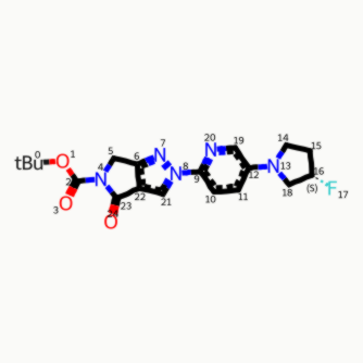 CC(C)(C)OC(=O)N1Cc2nn(-c3ccc(N4CC[C@H](F)C4)cn3)cc2C1=O